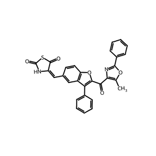 Cc1oc(-c2ccccc2)nc1C(=O)c1oc2ccc(C=C3NC(=O)SC3=O)cc2c1-c1ccccc1